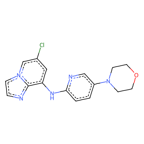 Clc1cc(Nc2ccc(N3CCOCC3)cn2)c2nccn2c1